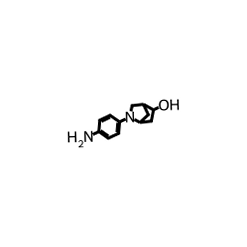 Nc1ccc(N2CC3CC2CC3O)cc1